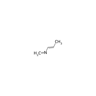 C=N/C=C/C